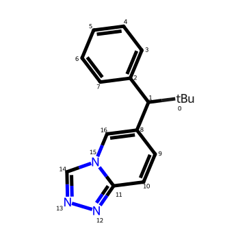 CC(C)(C)C(c1ccccc1)c1ccc2nncn2c1